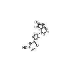 CC(C)[C@H](C#N)NC(=O)n1cc(-c2ccnc3[nH]c(=O)[nH]c23)cn1